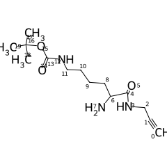 C#CCNC(=O)C(N)CCCCNC(=O)OC(C)(C)C